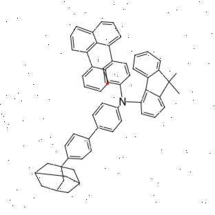 CC1(C)c2ccccc2-c2c(N(c3ccc(-c4ccc(C56CC7CC(CC(C7)C5)C6)cc4)cc3)c3ccc(-c4cccc5cccc(-c6ccccc6)c45)cc3)cccc21